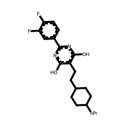 CCCC1CCC(CCc2c(O)nc(-c3ccc(F)c(F)c3)nc2O)CC1